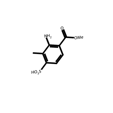 COC(=O)c1ccc(S(=O)(=O)O)c(C)c1N